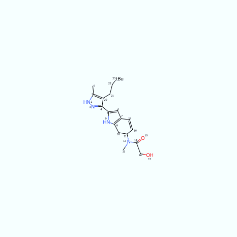 Cc1[nH]nc(-c2cc3c([nH]2)CC(N(C)C(=O)CO)C=C3)c1CCC(C)(C)C